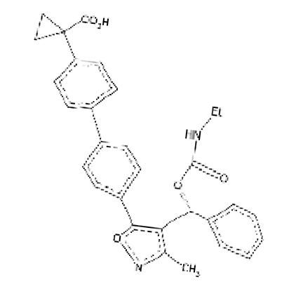 CCNC(=O)O[C@H](c1ccccc1)c1c(C)noc1-c1ccc(-c2ccc(C3(C(=O)O)CC3)cc2)cc1